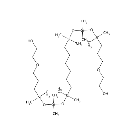 C[Si](C)(CCCCCC[Si](C)(C)O[Si](C)(C)O[Si](C)(C)CCCOCCO)O[Si](C)(C)O[Si](C)(C)CCCOCCO